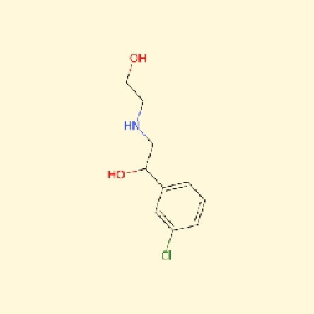 OCCNCC(O)c1cccc(Cl)c1